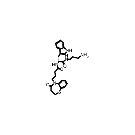 NCCCNC(=O)[C@@H](Cc1c[nH]c2ccccc12)NC(=O)CCCN1C(=O)CCSc2ccccc21